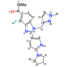 CNC(=O)c1ccc2c(nc(-c3ccc(N4CCCC4C)nc3)n2Cc2ccn(C)n2)c1F